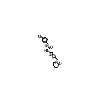 O=C(NCc1ccc(Cl)cc1)NC1CC2(CC(CN3CCCCC3=O)C2)C1